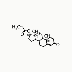 CCC(=O)O[C@H]1CCC2C3CCC4=CC(=O)CC[C@]4(C)C3CC[C@@]21C